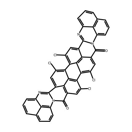 O=c1c2cc(Cl)c3c4c(Cl)cc5c(=O)n6c7cccc8cccc(nc6c6cc(Cl)c(c9c(Cl)cc(c2c39)c2nc3cccc9cccc(c93)n12)c4c56)c87